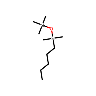 CCCCC[Si](C)(C)O[Si](C)(C)C